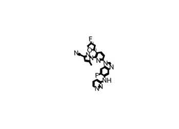 Cc1cc(C#N)nn1-c1nc(-n2cnc3cc(Nc4cccnn4)c(F)cc32)ccc1[C@@H]1C[C@H](F)CO1